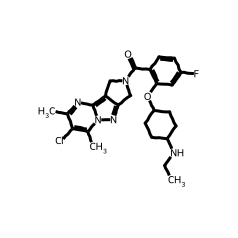 CCNC1CCC(Oc2cc(F)ccc2C(=O)N2Cc3nn4c(C)c(Cl)c(C)nc4c3C2)CC1